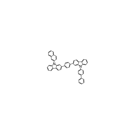 c1ccc(-c2ccc(-n3c4ccccc4c4ccc(-c5ccc(-c6ccc7c8ccccc8n(-c8ccc9ccccc9c8)c7c6)cc5)cc43)cc2)cc1